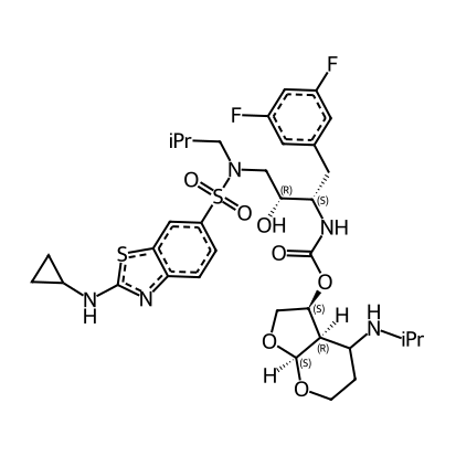 CC(C)CN(C[C@@H](O)[C@H](Cc1cc(F)cc(F)c1)NC(=O)O[C@@H]1CO[C@@H]2OCCC(NC(C)C)[C@@H]21)S(=O)(=O)c1ccc2nc(NC3CC3)sc2c1